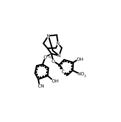 N#Cc1ccc(O[C@@]2(Oc3ccc([N+](=O)[O-])c(O)c3)C3CN4CN(C3)CN2C4)cc1O